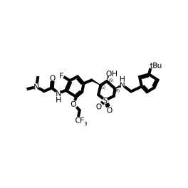 CN(C)CC(=O)Nc1c(F)cc(C[C@@H]2CS(=O)(=O)C[C@H](NCc3cccc(C(C)(C)C)c3)[C@H]2O)cc1OCC(F)(F)F